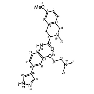 COc1ccc2c(c1)C[C@H](C(=O)Nc1ccc(-c3cn[nH]c3)cc1OCCN(C)C)N(C)C2